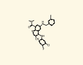 Cc1cccc(CNc2cc(C(=O)N(C)C)c3ncc(C#N)c(Nc4ccc(F)c(Cl)c4)c3c2)c1